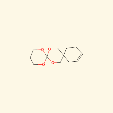 C1=CCC2(CC1)COC1(OCCCO1)OC2